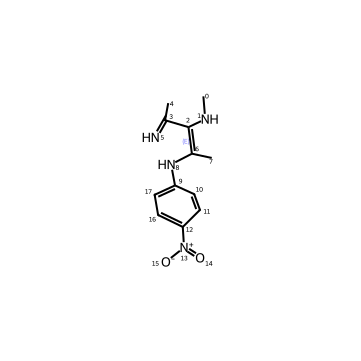 CN/C(C(C)=N)=C(\C)Nc1ccc([N+](=O)[O-])cc1